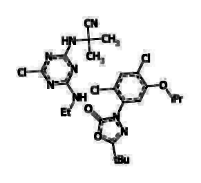 CC(C)Oc1cc(-n2nc(C(C)(C)C)oc2=O)c(Cl)cc1Cl.CCNc1nc(Cl)nc(NC(C)(C)C#N)n1